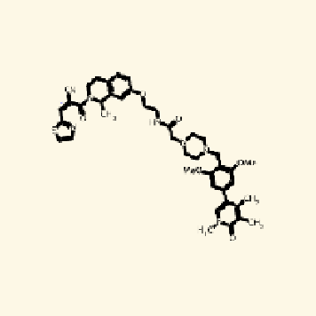 COc1cc(-c2cn(C)c(=O)c(C)c2C)cc(OC)c1CN1CCN(CC(=O)NCCOc2ccc3c(c2)C(C)N(C(=O)/C(C#N)=C\c2nccs2)CC3)CC1